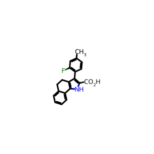 Cc1ccc(-c2c(C(=O)O)[nH]c3c2CCc2ccccc2-3)c(F)c1